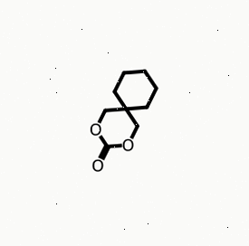 O=C1OCC2(CCCCC2)CO1